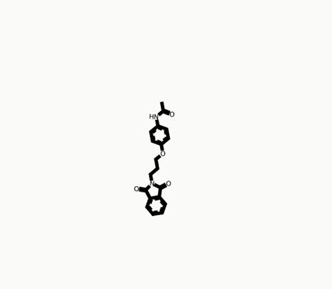 CC(=O)Nc1ccc(OCCCN2C(=O)c3ccccc3C2=O)cc1